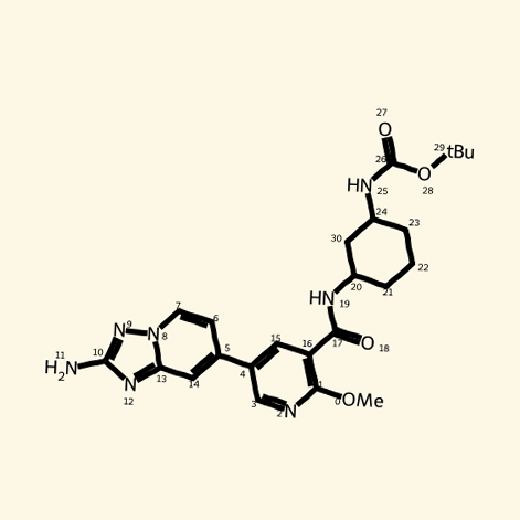 COc1ncc(-c2ccn3nc(N)nc3c2)cc1C(=O)NC1CCCC(NC(=O)OC(C)(C)C)C1